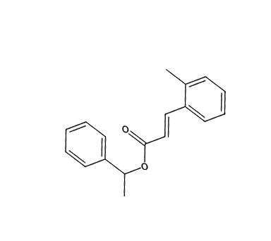 Cc1ccccc1C=CC(=O)OC(C)c1ccccc1